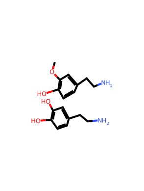 COc1cc(CCN)ccc1O.NCCc1ccc(O)c(O)c1